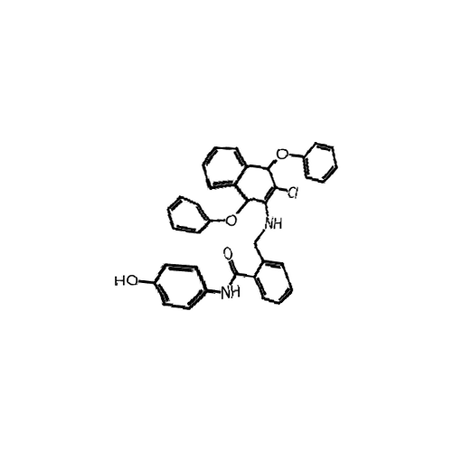 O=C(Nc1ccc(O)cc1)c1ccccc1CNC1=C(Cl)C(Oc2ccccc2)c2ccccc2C1Oc1ccccc1